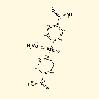 O=C(O)c1ccc(S(=O)(=O)c2ccc(C(=O)O)cc2)cc1.[MgH2]